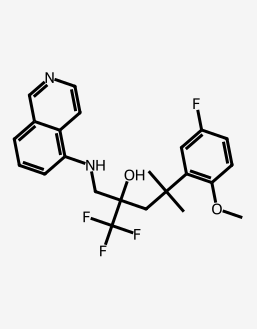 COc1ccc(F)cc1C(C)(C)CC(O)(CNc1cccc2cnccc12)C(F)(F)F